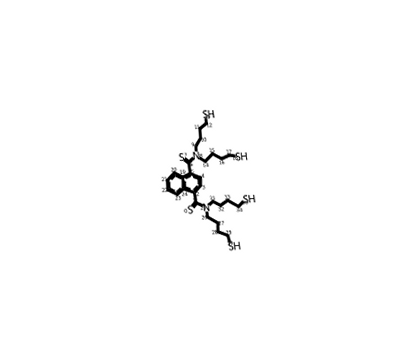 S=C(c1ccc(C(=S)N(CCCCS)CCCCS)c2ccccc12)N(CCCCS)CCCCS